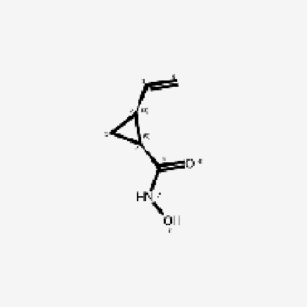 C=C[C@@H]1C[C@@H]1C(=O)NO